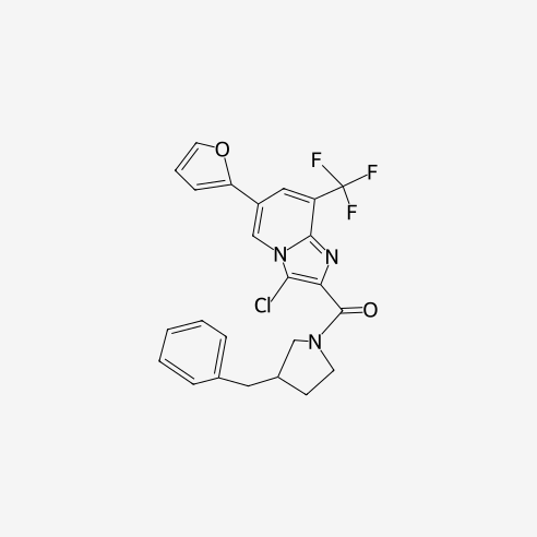 O=C(c1nc2c(C(F)(F)F)cc(-c3ccco3)cn2c1Cl)N1CCC(Cc2ccccc2)C1